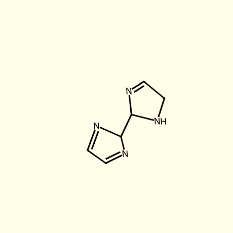 C1=NC(C2N=CCN2)N=C1